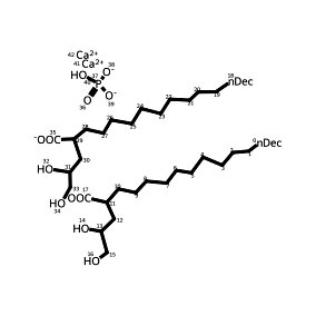 CCCCCCCCCCCCCCCCCCCCC(CC(O)CO)C(=O)[O-].CCCCCCCCCCCCCCCCCCCCC(CC(O)CO)C(=O)[O-].O=P([O-])([O-])O.[Ca+2].[Ca+2]